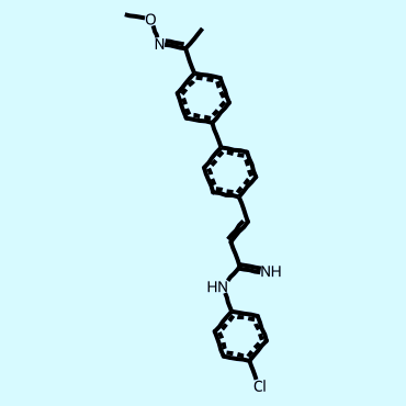 CON=C(C)c1ccc(-c2ccc(C=CC(=N)Nc3ccc(Cl)cc3)cc2)cc1